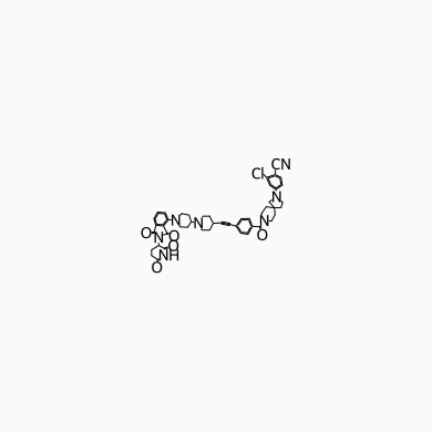 N#Cc1ccc(N2CCC3(CCN(C(=O)c4ccc(C#CC5CCN(C6CCN(c7cccc8c7C(=O)N(C7CCC(=O)NC7=O)C8=O)CC6)CC5)cc4)CC3)C2)cc1Cl